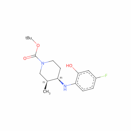 C[C@H]1CN(C(=O)OC(C)(C)C)CC[C@H]1Nc1ccc(F)cc1O